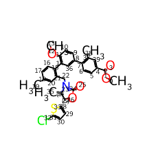 COC(=O)c1ccc(-c2ccc(OC)c(-c3ccc(C)cc3CN3C(=O)O[C@H](c4ccc(Cl)s4)[C@@H]3C)c2)c(C)c1